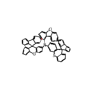 c1ccc2c(c1)Oc1ccc(N(c3ccc4c(c3)Sc3ccccc3C43c4ccccc4-c4ccccc43)c3cccc4oc5ccccc5c34)cc1C21c2ccccc2-c2ccccc21